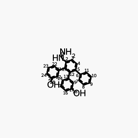 NNc1ccc(-c2ccccc2)c(-c2cccc(O)c2)c1-c1cccc(O)c1